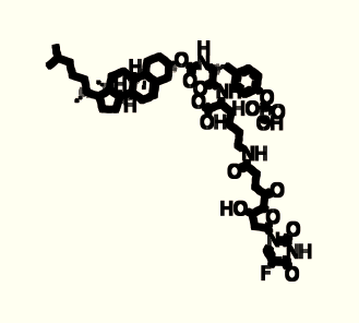 CC(C)CCC[C@@H](C)C1CC[C@H]2[C@@H]3CC=C4C[C@@H](OC(=O)N[C@H](Cc5ccc(OP(=O)(O)O)cc5)C(=O)NC(CCCCNC(=O)CCC(=O)C5OC(n6cc(F)c(=O)[nH]c6=O)CC5O)C(=O)O)CC[C@]4(C)[C@H]3CC[C@]12C